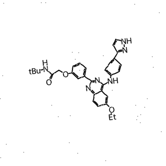 CCOc1ccc2nc(-c3cccc(OCC(=O)NC(C)(C)C)c3)nc(Nc3ccc(-c4cc[nH]n4)cc3)c2c1